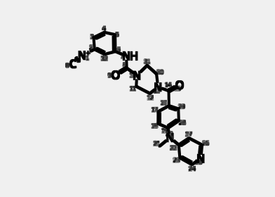 [C-]#[N+]c1cccc(NC(=O)N2CCN(C(=O)c3ccc(N(C)c4ccncc4)cc3)CC2)c1